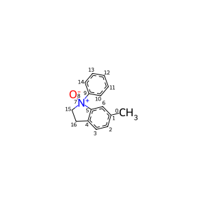 Cc1ccc2c(c1)[N+]([O-])(c1ccccc1)CC2